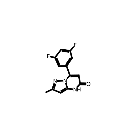 Cc1cc2[nH]c(=O)cc(-c3cc(F)cc(F)c3)n2n1